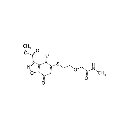 CNC(=O)COCCSC1=CC(=O)c2onc(C(=O)OC)c2C1=O